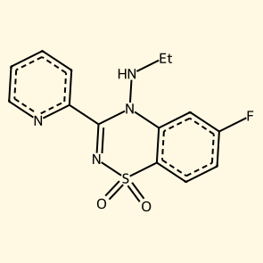 CCNN1C(c2ccccn2)=NS(=O)(=O)c2ccc(F)cc21